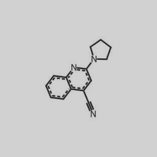 N#Cc1cc(N2CCCC2)nc2ccccc12